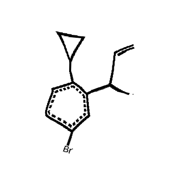 [CH2]C(C=C)c1cc(Br)ccc1C1CC1